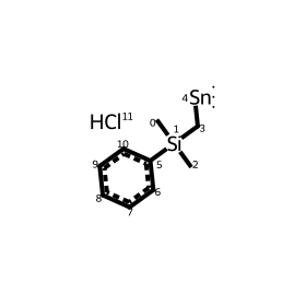 C[Si](C)([CH2][Sn])c1ccccc1.Cl